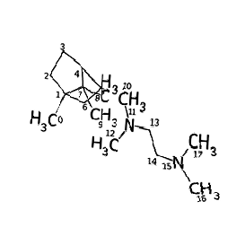 CC12CCC(CC1)C2(C)C.CN(C)CCN(C)C